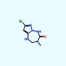 CC1CNc2cc(Br)nn2NC1=O